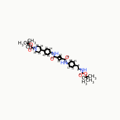 CC(C)(C)OC(=O)NCCc1ccc(NC(=O)C23CC(C(=O)Nc4ccc(C5=CCN(C(=O)OC(C)(C)C)CC5)cc4)(C2)C3)cc1